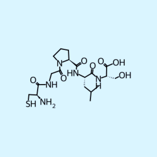 CC(C)C[C@H](NC(=O)[C@@H]1CCCN1C(=O)CNC(=O)[C@@H](N)CS)C(=O)N[C@@H](CO)C(=O)O